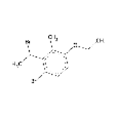 CCOc1ccc(Br)c(C(C)Br)c1C